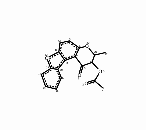 CC(=O)OC1C(=O)c2c(ccc3oc4ccccc4c23)OC1C